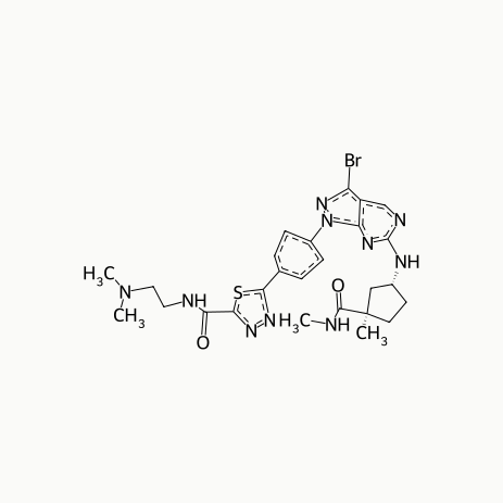 CNC(=O)[C@]1(C)CC[C@@H](Nc2ncc3c(Br)nn(-c4ccc(-c5nnc(C(=O)NCCN(C)C)s5)cc4)c3n2)C1